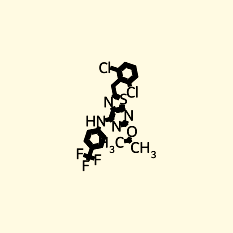 CC(C)Oc1nc(Nc2ccc(C(F)(F)F)cc2)c2nc(Cc3c(Cl)cccc3Cl)sc2n1